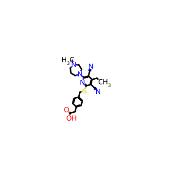 CCc1c(C#N)c(SCc2ccc(CC(=O)O)cc2)nc(N2CCCN(C)CC2)c1C#N